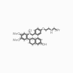 CCN(Cc1ccc(OCCNCC(C)C)cc1)c1cc(OC)c(OC)cc1C1CCc2cc(O)ccc2C1